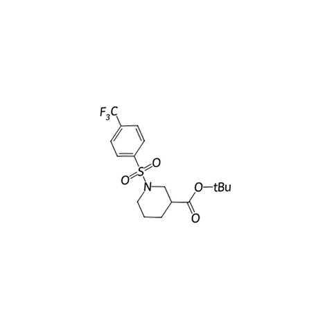 CC(C)(C)OC(=O)C1CCCN(S(=O)(=O)c2ccc(C(F)(F)F)cc2)C1